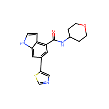 O=C(NC1CCOCC1)c1cc(-c2cncs2)cc2[nH]ccc12